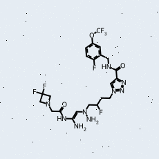 N/C(=C\N(N)CC(F)CCn1cc(C(=O)NCc2cc(OC(F)(F)F)ccc2F)nn1)NC(=O)CN1CC(F)(F)C1